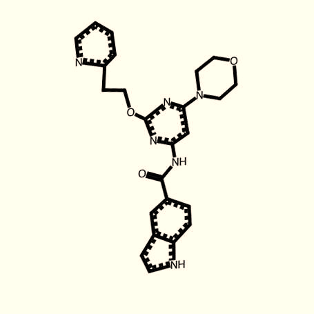 O=C(Nc1cc(N2CCOCC2)nc(OCCc2ccccn2)n1)c1ccc2[nH]ccc2c1